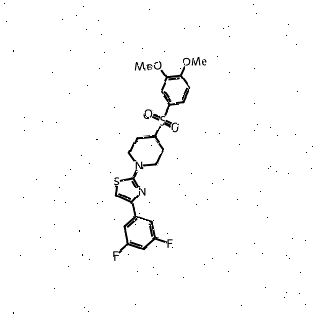 COc1ccc(S(=O)(=O)C2CCN(c3nc(-c4cc(F)cc(F)c4)cs3)CC2)cc1OC